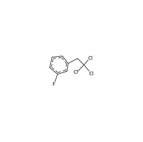 Fc1cccc(CC(Cl)(Cl)Cl)c1